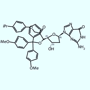 COc1ccc(C(OC(C(=O)COc2ccc(C(C)C)cc2)[C@H]2O[C@@H](n3cnc4c(=O)[nH]c(N)nc43)C[C@@H]2O)(c2ccccc2)c2ccc(OC)cc2)cc1